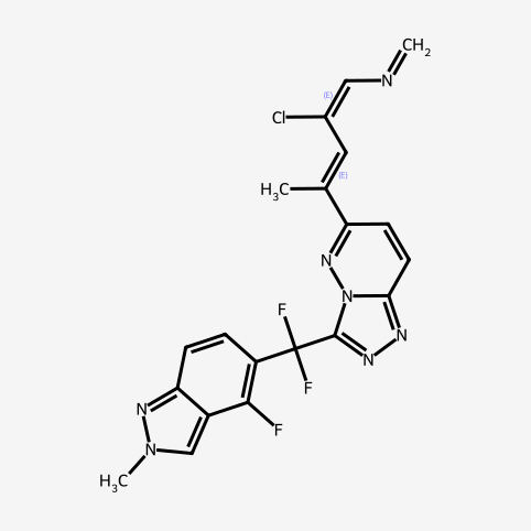 C=N/C=C(Cl)\C=C(/C)c1ccc2nnc(C(F)(F)c3ccc4nn(C)cc4c3F)n2n1